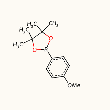 [CH2]Oc1ccc(B2OC(C)(C)C(C)(C)O2)cc1